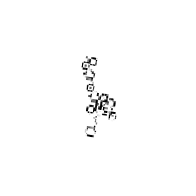 COC(=O)CN(C(=O)C(CCc1ccccc1)CSC(C)=O)c1ccc(OCc2ccc(OC(C)=O)cc2)cc1